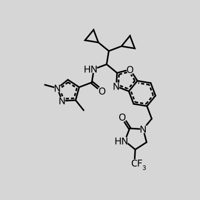 Cc1nn(C)cc1C(=O)NC(c1nc2cc(CN3CC(C(F)(F)F)NC3=O)ccc2o1)C(C1CC1)C1CC1